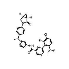 C[C@@H](c1ccc(N2C[C@H]3C[C@H]3C2=O)cc1)n1cc(NC(=O)c2cncc(-c3c(C(F)F)ccc(Cl)c3F)n2)cn1